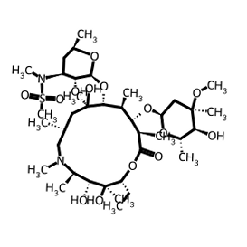 CC[C@H]1OC(=O)[C@H](C)[C@@H](O[C@H]2C[C@@](C)(OC)[C@@H](O)[C@H](C)O2)[C@H](C)[C@@H](O[C@@H]2O[C@H](C)C[C@H](N(C)S(C)(=O)=O)[C@H]2O)[C@](C)(O)C[C@@H](C)CN(C)[C@H](C)[C@@H](O)[C@]1(C)O